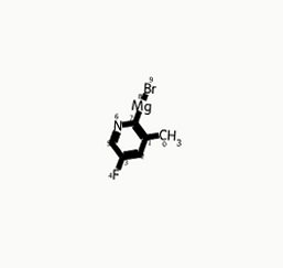 Cc1cc(F)cn[c]1[Mg][Br]